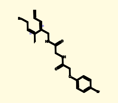 C=C/C=C(CNC(=O)CNC(=O)COc1ccc(Br)cc1)\C(F)=C/CBr